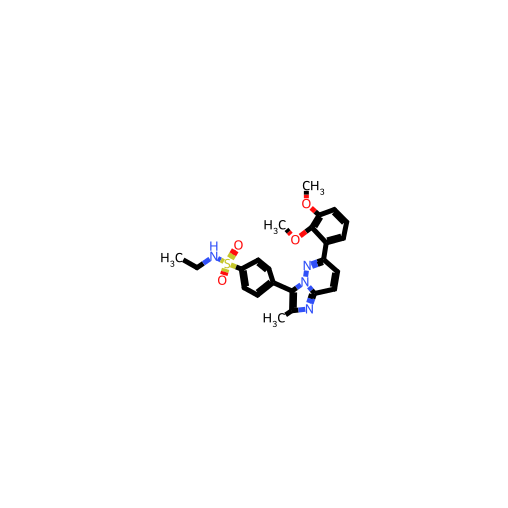 CCNS(=O)(=O)c1ccc(-c2c(C)nc3ccc(-c4cccc(OC)c4OC)nn23)cc1